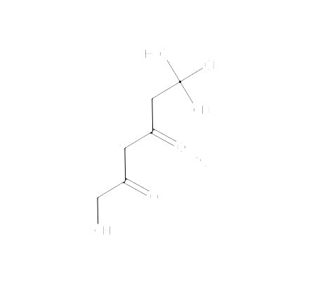 CCC(=O)CC(=O)CC(C)(C)C.[Pt]